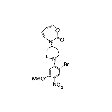 COc1cc(N2CCC(N3C=CC=COC3=O)CC2)c(Br)cc1[N+](=O)[O-]